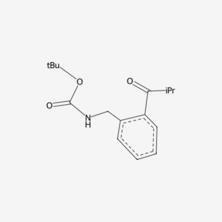 CC(C)C(=O)c1ccccc1CNC(=O)OC(C)(C)C